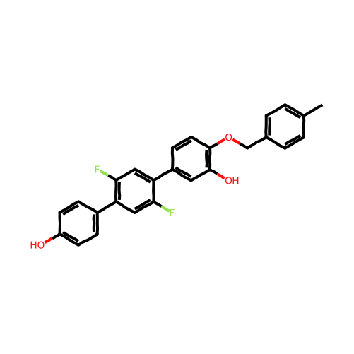 Cc1ccc(COc2ccc(-c3cc(F)c(-c4ccc(O)cc4)cc3F)cc2O)cc1